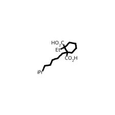 CCC1(C(=O)O)CCCCC1(CCCCCC(C)C)C(=O)O